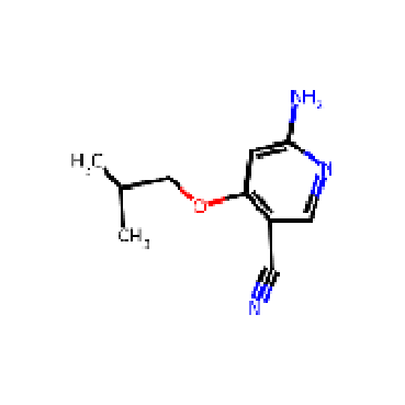 CC(C)COc1cc(N)ncc1C#N